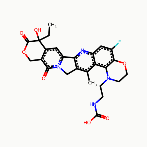 CCC1(O)C(=O)OCc2c1cc1n(c2=O)Cc2c-1nc1cc(F)c3c(c1c2C)N(CCNC(=O)O)CCO3